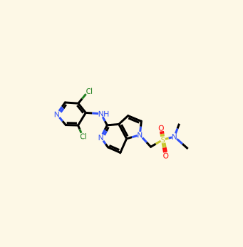 CN(C)S(=O)(=O)Cn1ccc2c(Nc3c(Cl)cncc3Cl)nccc21